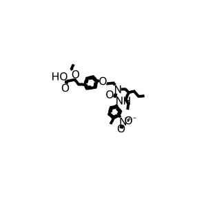 CCCC(CCC)CN(CCOc1ccc(CC(OCC)C(=O)O)cc1)C(=O)Nc1ccc(C)c([N+](=O)[O-])c1